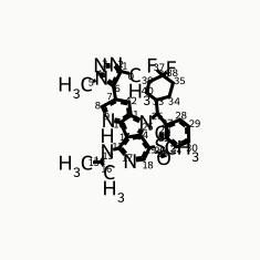 Cc1nnn(C)c1-c1cnc2c3c(NC(C)C)ncc(S(C)(=O)=O)c3n(C(c3ccccc3)C3CCC(F)(F)CC3)c2c1